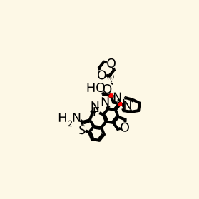 N#Cc1c(N)sc2cccc(-c3c4c(c5c(N6C7CCC6CN(CCCO)C7)nc(OC[C@H]6COCCO6)nc5c3F)COC4)c12